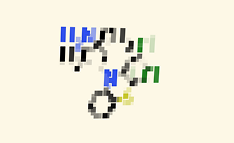 CC(C)(N)CCN1c2ccccc2Sc2ccc(Cl)cc21.Cl